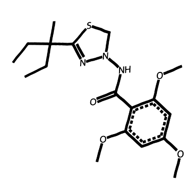 CCC(C)(CC)C1=NN(NC(=O)c2c(OC)cc(OC)cc2OC)CS1